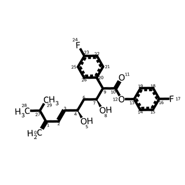 C=C(C=C[C@H](O)C[C@H](O)C(C(=O)Oc1ccc(F)cc1)c1ccc(F)cc1)C(C)C